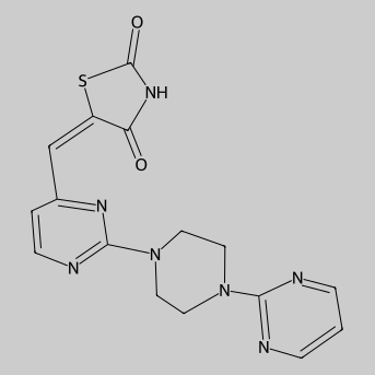 O=C1NC(=O)/C(=C\c2ccnc(N3CCN(c4ncccn4)CC3)n2)S1